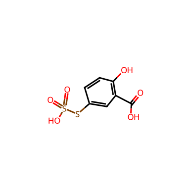 O=C(O)c1cc(SS(=O)(=O)O)ccc1O